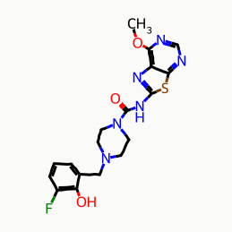 COc1ncnc2sc(NC(=O)N3CCN(Cc4cccc(F)c4O)CC3)nc12